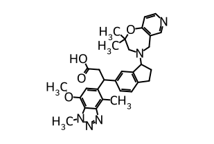 COc1cc(C(CC(=O)O)c2ccc3c(c2)C(N2Cc4cnccc4OC(C)(C)C2)CC3)c(C)c2nnn(C)c12